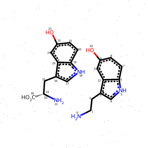 NCCc1c[nH]c2ccc(O)cc12.N[C@@H](Cc1c[nH]c2ccc(O)cc12)C(=O)O